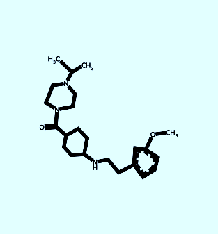 COc1cccc(CCNC2CCC(C(=O)N3CCN(C(C)C)CC3)CC2)c1